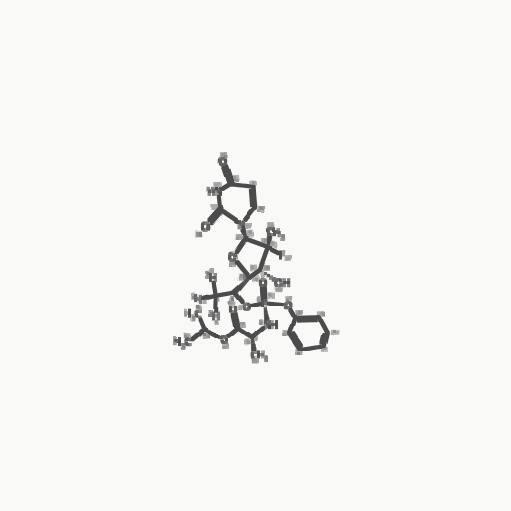 [2H]C([2H])([2H])C(O[P@@](=O)(N[C@@H](C)C(=O)OC(C)C)Oc1ccccc1)[C@H]1O[C@@H](n2ccc(=O)[nH]c2=O)[C@](C)(F)[C@@H]1O